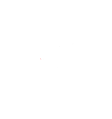 OC1CC=[C]CC1